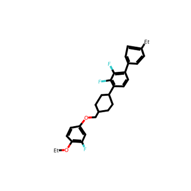 CCOc1ccc(OCC2CCC(c3ccc(-c4ccc(CC)cc4)c(F)c3F)CC2)cc1F